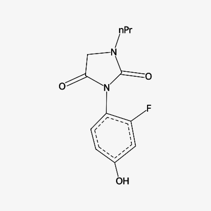 CCCN1CC(=O)N(c2ccc(O)cc2F)C1=O